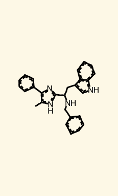 Cc1[nH]c(C(Cc2c[nH]c3ccccc23)NCc2ccccc2)nc1-c1ccccc1